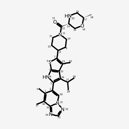 Cc1c(-c2[nH]c3sc(C4CCN(C(=O)[C@H]5CO[C@@H](C)CN5)CC4)c(C)c3c2C(C)C)cn2ncnc2c1C